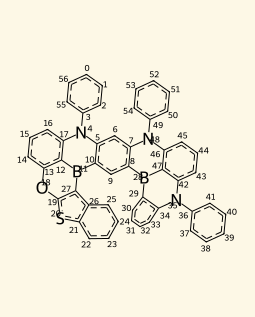 c1ccc(N2c3cc4c(cc3B3c5c(cccc52)Oc2sc5ccccc5c23)B2c3ccccc3N(c3ccccc3)c3cccc(c32)N4c2ccccc2)cc1